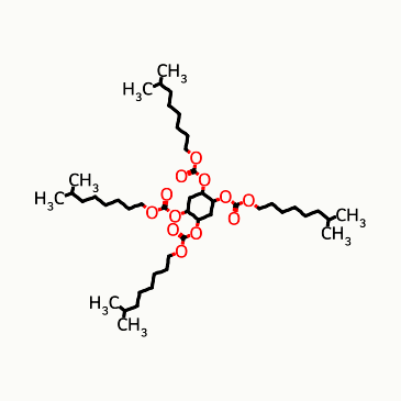 CC(C)CCCCCCOC(=O)OC1CC(OC(=O)OCCCCCCC(C)C)C(OC(=O)OCCCCCCC(C)C)CC1OC(=O)OCCCCCCC(C)C